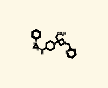 O=C(O)CC1(N2CCC(N[C@@H]3C[C@@H]3c3ccccc3)CC2)CN(Cc2ncccn2)C1